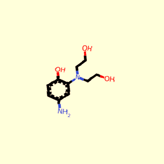 Nc1ccc(O)c(N(CCO)CCO)c1